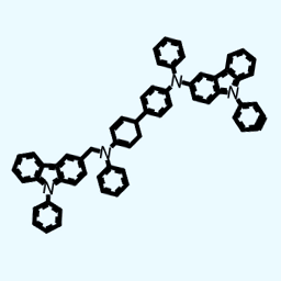 c1ccc(-n2c3ccccc3c3cc(N(c4ccccc4)c4ccc(C5C=CC(N(Cc6ccc7c(c6)c6ccccc6n7-c6ccccc6)c6ccccc6)=CC5)cc4)ccc32)cc#1